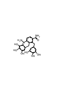 NC(=O)c1ccc(C(N)=O)c(Cc2cc(O)c(O)c(O)c2)c1Cc1cc(O)c(O)c(O)c1